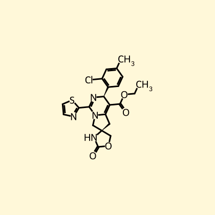 CCOC(=O)C1=C2C[C@]3(COC(=O)N3)CN2C(c2nccs2)=N[C@H]1c1ccc(C)cc1Cl